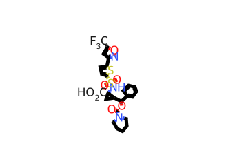 O=C(OC(c1ccccc1)C1CC1(NS(=O)(=O)c1ccc(-c2cc(C(F)(F)F)on2)s1)C(=O)O)N1CCCCC1